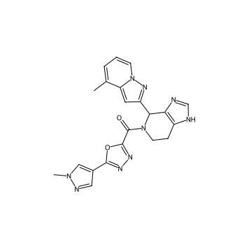 Cc1cccn2nc(C3c4nc[nH]c4CCN3C(=O)c3nnc(-c4cnn(C)c4)o3)cc12